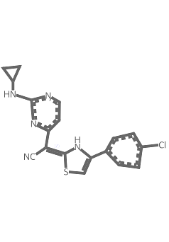 N#C/C(=C1/NC(c2ccc(Cl)cc2)=CS1)c1ccnc(NC2CC2)n1